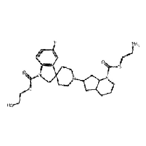 O=C(OCCO)N1CC2(CCN(C3CC4CCCN(C(=O)OCCP)C4C3)CC2)c2cc(F)ccc21